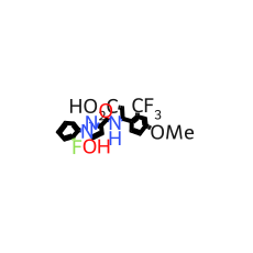 COc1ccc(C(CC(=O)O)NC(=O)c2cc(O)n(-c3ccccc3F)n2)c(C(F)(F)F)c1